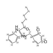 CCCCCC(=O)c1[nH]c2ccccc2c1NCc1ccc(Cl)cc1Cl